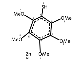 COc1c(S)c(OC)c(OC)c(OC)c1OC.[Zn]